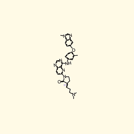 Cc1cc(Nc2ncnc3ccc(N4CC/C(=C\CCN(C)C)C4=O)nc23)ccc1Oc1ccc2c(c1)ncn2C